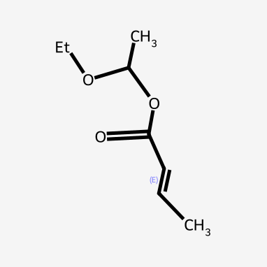 C/C=C/C(=O)OC(C)OCC